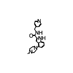 CN1CCN(c2cccc3[nH]c(C(=O)NCc4ccncc4)cc23)CC1